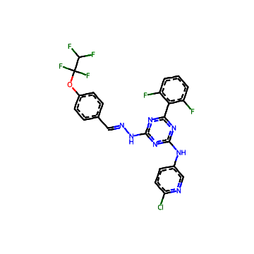 Fc1cccc(F)c1-c1nc(NN=Cc2ccc(OC(F)(F)C(F)F)cc2)nc(Nc2ccc(Cl)nc2)n1